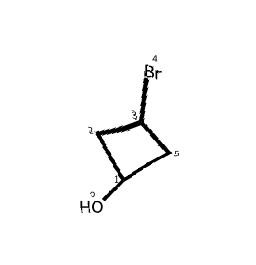 OC1CC(Br)C1